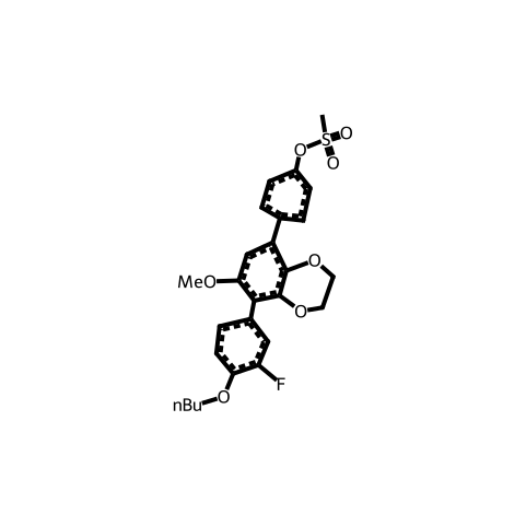 CCCCOc1ccc(-c2c(OC)cc(-c3ccc(OS(C)(=O)=O)cc3)c3c2OCCO3)cc1F